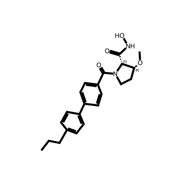 CCCc1ccc(-c2ccc(C(=O)N3CC[C@@H](OC)[C@H]3C(=O)NO)cc2)cc1